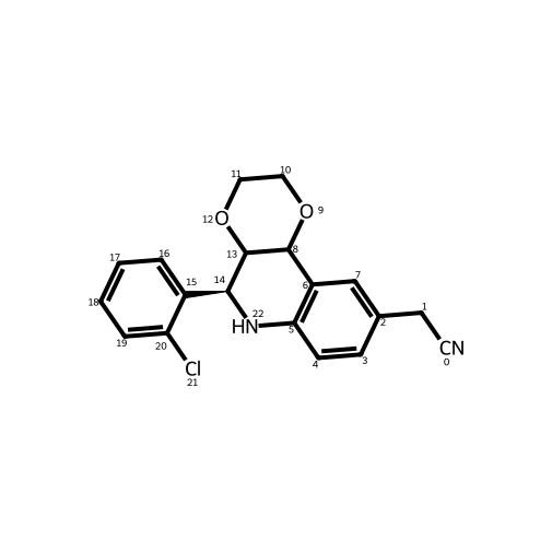 N#CCc1ccc2c(c1)C1OCCOC1[C@H](c1ccccc1Cl)N2